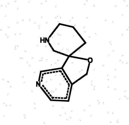 c1cc2c(cn1)C1(CCCNC1)OC2